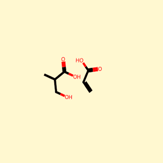 C=CC(=O)O.CC(CO)C(=O)O